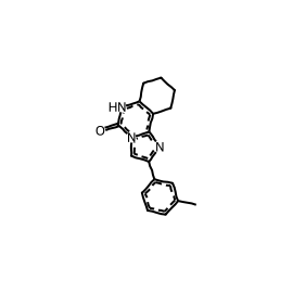 Cc1cccc(-c2cn3c(=O)[nH]c4c(c3n2)CCCC4)c1